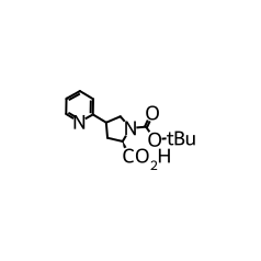 CC(C)(C)OC(=O)N1CC(c2ccccn2)C[C@@H]1C(=O)O